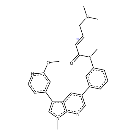 COc1cc(-c2cn(C)c3ncc(-c4cccc(N(C)C(=O)/C=C/CN(C)C)c4)cc23)ccn1